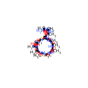 C=C(NC(=O)C(=C)NC(=O)C(=C)NC(=O)c1ccc2c(n1)-c1coc(n1)C(=C)NC(=O)C(=C)NC(=O)c1nc(oc1C)/C(=C/C)NC(=O)c1csc(n1)C(OC)NC(=O)c1nc(oc1C)/C(=C/C(C)O)NC(=O)[C@H]([C@@H](C)O)NC(=O)c1csc-2n1)C(N)=O